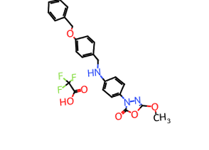 COc1nn(-c2ccc(NCc3ccc(OCc4ccccc4)cc3)cc2)c(=O)o1.O=C(O)C(F)(F)F